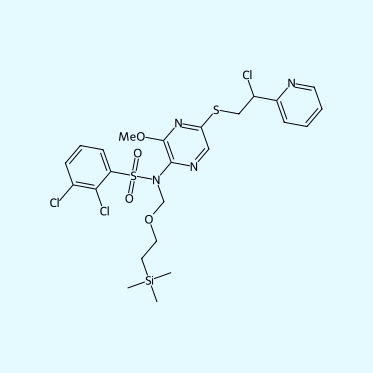 COc1nc(SCC(Cl)c2ccccn2)cnc1N(COCC[Si](C)(C)C)S(=O)(=O)c1cccc(Cl)c1Cl